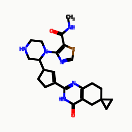 CNC(=O)c1scnc1N1CCNCC1C1C=C(c2nc3c(c(=O)[nH]2)CC2(CC3)CC2)CC1